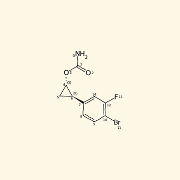 NC(=O)O[C@H]1C[C@@H]1c1ccc(Br)c(F)c1